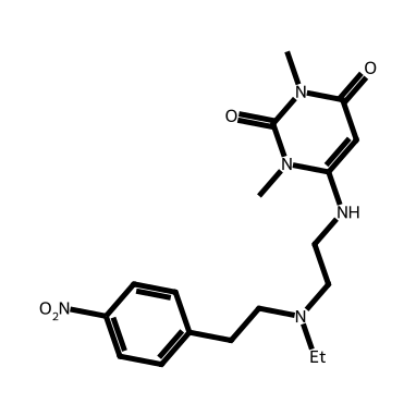 CCN(CCNc1cc(=O)n(C)c(=O)n1C)CCc1ccc([N+](=O)[O-])cc1